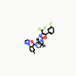 Cc1ccc(-n2nccn2)c(C(=O)N2CC[C@H]3CN(c4nc(C(F)F)c(-c5cccc(F)c5)o4)[C@H]3C2)c1